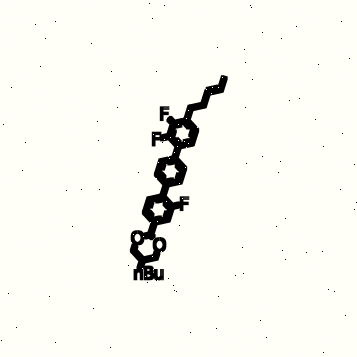 C/C=C/CCc1ccc(-c2ccc(-c3ccc(C4OCC(CCCC)CO4)cc3F)cc2)c(F)c1F